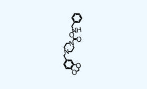 O=C(ONCc1ccccc1)N1CCN(Cc2ccc3c(c2)OCO3)CC1